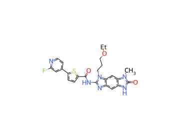 CCOCCCn1c(NC(=O)c2ccc(-c3ccnc(F)c3)s2)nc2cc3[nH]c(=O)n(C)c3cc21